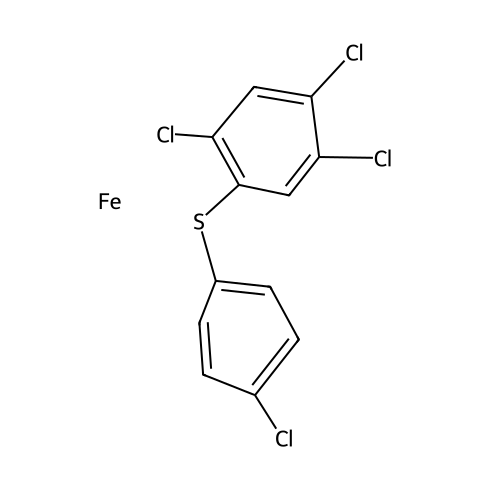 Clc1ccc(Sc2cc(Cl)c(Cl)cc2Cl)cc1.[Fe]